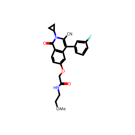 COCCNC(=O)COc1ccc2c(=O)n(C3CC3)c(C#N)c(-c3cccc(F)c3)c2c1